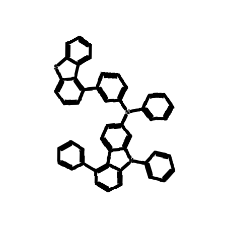 c1ccc(-c2cccc3c2c2ccc(N(c4ccccc4)c4cccc(-c5cccc6sc7ccccc7c56)c4)cc2n3-c2ccccc2)cc1